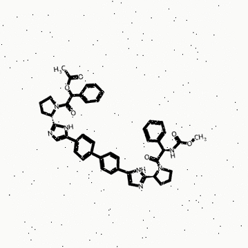 COC(=O)N[C@@H](C(=O)N1CCC[C@H]1c1ncc(-c2ccc(-c3ccc(-c4cnc([C@@H]5CCCN5C(=O)C(OC(C)=O)c5ccccc5)[nH]4)cc3)cc2)[nH]1)c1ccccc1